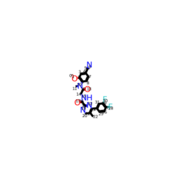 COc1cc(C#N)ccc1N(C)C(=O)CNC(=O)c1ncc(C)c(-c2ccc(F)c(F)c2)n1